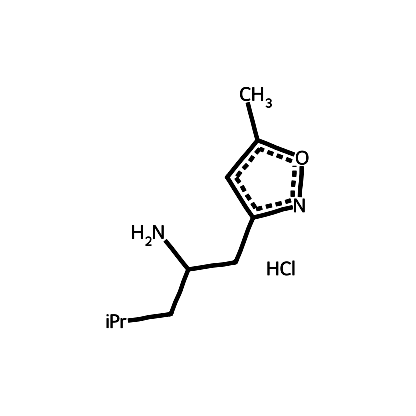 Cc1cc(CC(N)CC(C)C)no1.Cl